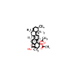 CC(=O)OC1(OC(C)=O)CC[C@](C)(C(=O)O)[C@@H]2CC[C@]3(C)[C@H](CC=C4[C@@H]5[C@@H](C)[C@H](C)CC[C@]5(C)CC[C@]43C)[C@]21C